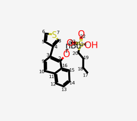 CCCCOc1c(-c2ccsc2)ccc2ccccc12.CCCCS(=O)(=O)O